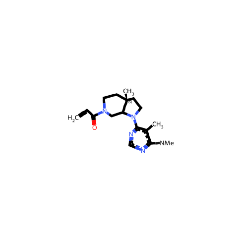 C=CC(=O)N1CC[C@]2(C)CCN(c3ncnc(NC)c3C)C2C1